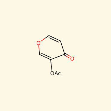 CC(=O)Oc1coccc1=O